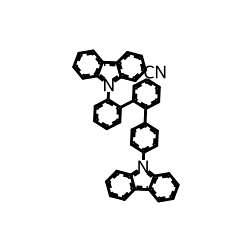 N#Cc1ccc(-c2ccc(-n3c4ccccc4c4ccccc43)cc2)c(-c2ccccc2-n2c3ccccc3c3ccccc32)c1